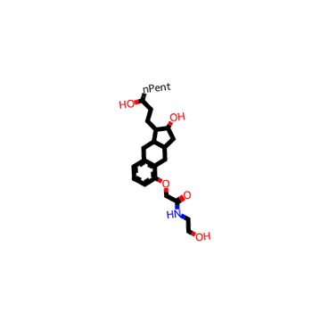 CCCCCC(O)CCC1C(O)CC2Cc3c(cccc3OCC(=O)NCCO)CC21